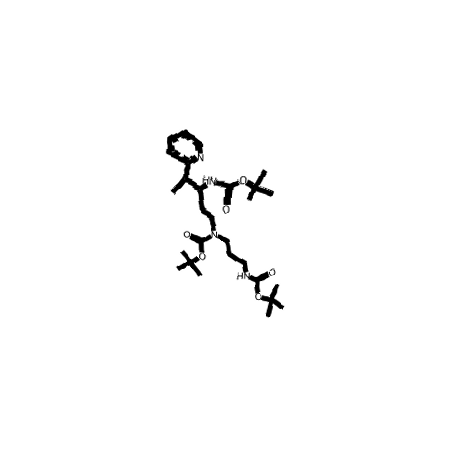 CC(c1ccccn1)C(CCN(CCCNC(=O)OC(C)(C)C)C(=O)OC(C)(C)C)NC(=O)OC(C)(C)C